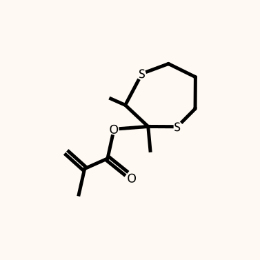 C=C(C)C(=O)OC1(C)SCCCSC1C